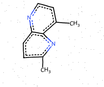 Cc1ccc2nccc(C)c2n1